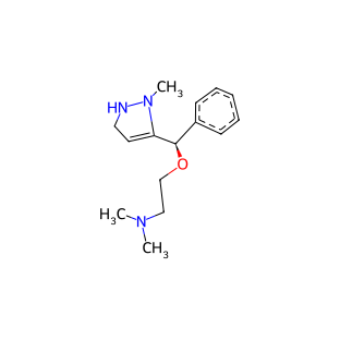 CN(C)CCO[C@@H](C1=CCNN1C)c1ccccc1